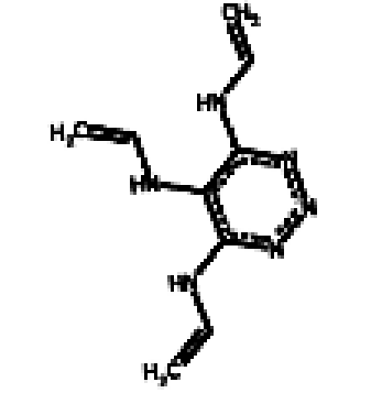 C=CNc1nnnc(NC=C)c1NC=C